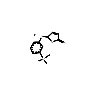 C[N+](C)(C)c1cccc(OC2C=CC(=O)O2)c1.[I-]